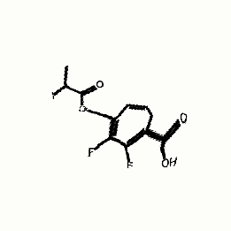 CC(I)C(=O)Oc1ccc(C(=O)O)c(F)c1F